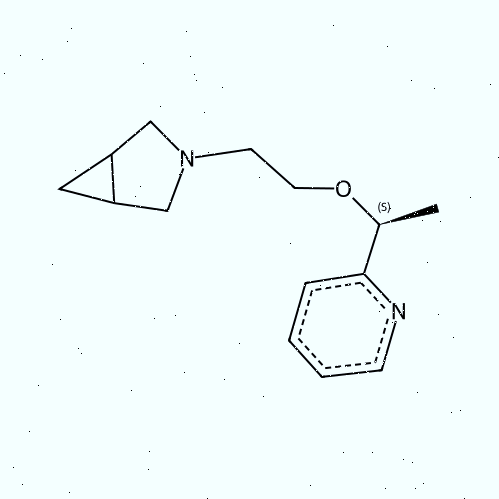 C[C@H](OCCN1CC2CC2C1)c1ccccn1